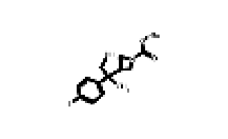 CC(C)(C)OC(=O)N1CC(C(C)(CN)c2ccc(F)cc2)C1